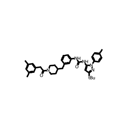 Cc1ccc(-n2nc(C(C)(C)C)cc2NC(=O)Nc2cccc(CC3CCN(C(=O)Cc4cc(C)cc(C)c4)CC3)c2)cc1